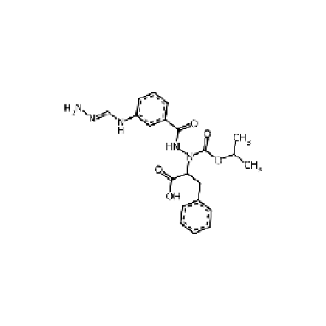 CC(C)OC(=O)N(NC(=O)c1cccc(NC=NN)c1)C(Cc1ccccc1)C(=O)O